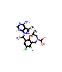 Cc1nn(C(C)c2cc(Cl)c(F)c3c2OC(C)CN(C(=O)O)C3)c2ncnc(N)c12